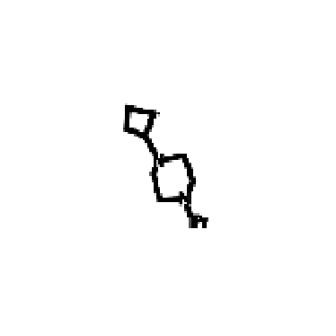 CC(C)N1CCN(C2[CH]CC2)CC1